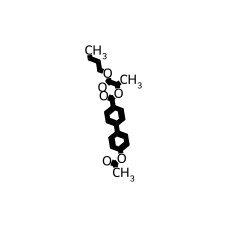 CCCCOC(=O)C(C)OC(=O)c1ccc(-c2ccc(OC(C)=O)cc2)cc1